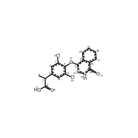 CC(C(=O)O)c1cc(Cl)c(Oc2n[nH]c(=O)c3ccccc23)c(Cl)c1